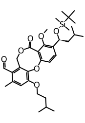 COc1c([C@H](CC(C)C)O[Si](C)(C)C(C)(C)C)ccc2c1C(=O)OCc1c(C=O)c(C)cc(OCCC(C)C)c1O2